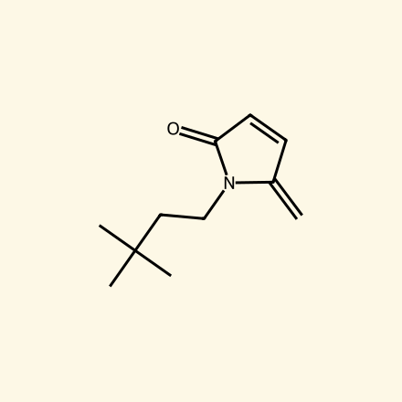 C=C1C=CC(=O)N1CCC(C)(C)C